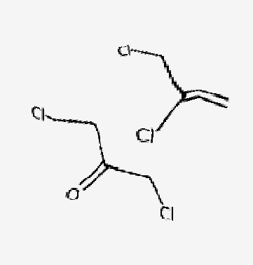 C=C(Cl)CCl.O=C(CCl)CCl